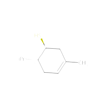 CC1=CC[C@H](C(C)C)[C@@H](S)C1